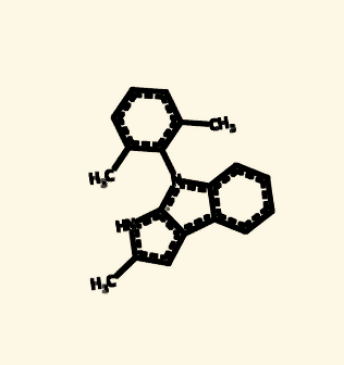 Cc1cc2c3ccccc3n(-c3c(C)cccc3C)c2[nH]1